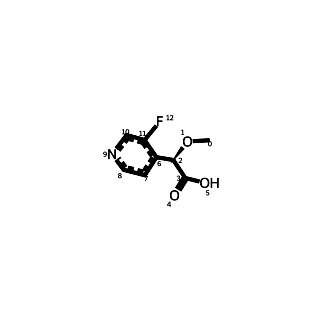 CO[C@@H](C(=O)O)c1ccncc1F